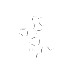 CC(C)=Cc1cc(=O)[nH]c2nc(-c3ccccc3)c(-c3cc(Cl)c4[nH]ncc4c3)cc12